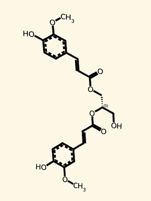 COc1cc(C=CC(=O)OC[C@H](CO)OC(=O)C=Cc2ccc(O)c(OC)c2)ccc1O